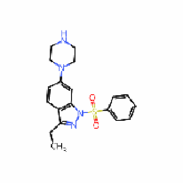 CCc1nn(S(=O)(=O)c2ccccc2)c2cc(N3CCNCC3)ccc12